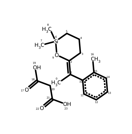 CC(=C1CCC[Si](C)(C)O1)c1ccccc1C.O=C(O)CC(=O)O